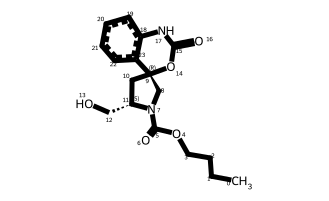 CCCCOC(=O)N1C[C@]2(C[C@H]1CO)OC(=O)Nc1ccccc12